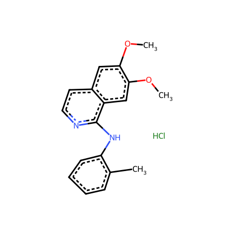 COc1cc2ccnc(Nc3ccccc3C)c2cc1OC.Cl